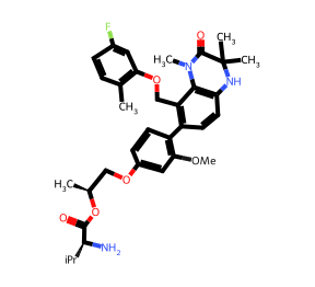 COc1cc(OC[C@H](C)OC(=O)[C@@H](N)C(C)C)ccc1-c1ccc2c(c1COc1cc(F)ccc1C)N(C)C(=O)C(C)(C)N2